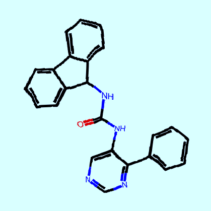 O=C(Nc1cncnc1-c1ccccc1)NC1c2ccccc2-c2ccccc21